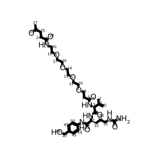 C=C(C)[C@H](NC(=O)CCOCCOCCOCCOCCNC(=O)CCC(C)=O)C(=O)N[C@@H](CCCNC(N)=O)C(=O)Nc1ccc(CO)cc1